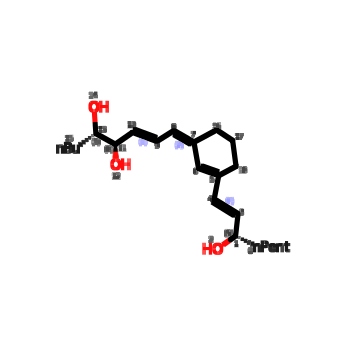 CCCCC[C@H](O)/C=C/C1=CC(=C\C=C\[C@@H](O)[C@@H](O)CCCC)/CCC1